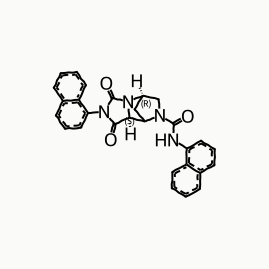 O=C1[C@@H]2C3C[C@H](CN3C(=O)Nc3cccc4ccccc34)N2C(=O)N1c1cccc2ccccc12